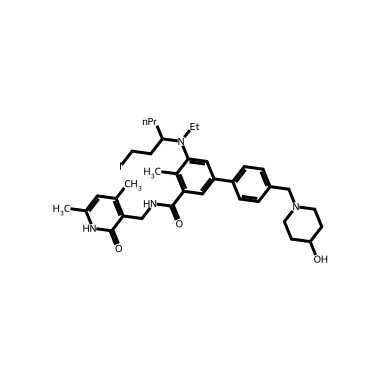 CCCC(CCI)N(CC)c1cc(-c2ccc(CN3CCC(O)CC3)cc2)cc(C(=O)NCc2c(C)cc(C)[nH]c2=O)c1C